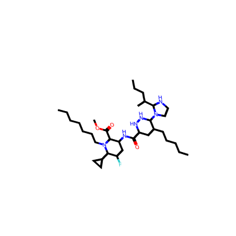 CCCCCCCN1C(C(=O)OC)C(NC(=O)C2CC(CCCCC)C(N3CCNC3C(C)CCC)NN2)CC(F)C1C1CC1